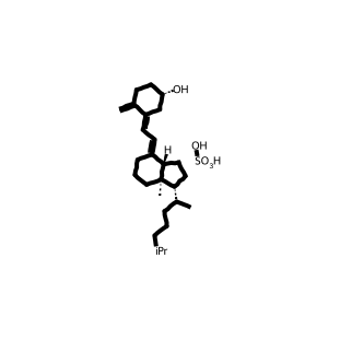 C=C1CC[C@H](O)C/C1=C\C=C1/CCC[C@]2(C)[C@@H](C(C)CCCC(C)C)CC[C@@H]12.O=S(=O)(O)O